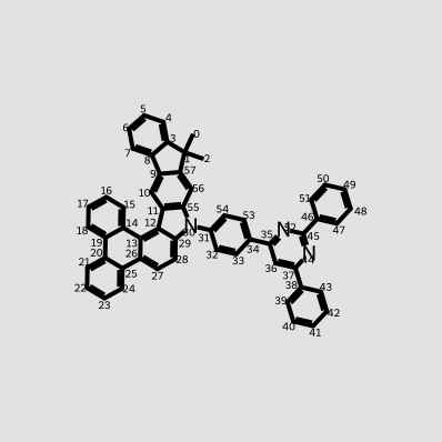 CC1(C)c2ccccc2-c2cc3c4c5c6ccccc6c6ccccc6c5ccc4n(-c4ccc(-c5cc(-c6ccccc6)nc(-c6ccccc6)n5)cc4)c3cc21